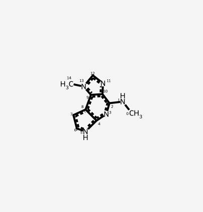 CNc1nc2[nH][c]cc2c2c1ncn2C